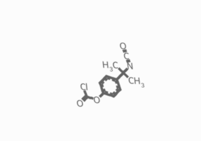 CC(C)(N=C=O)c1ccc(OC(=O)Cl)cc1